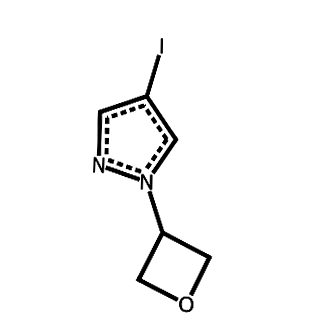 Ic1cnn(C2COC2)c1